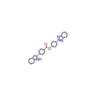 O=C(Oc1ccc(-n2nc3ccccc3n2)cc1)c1ccc(-c2cc3ccccc3[nH]2)cc1